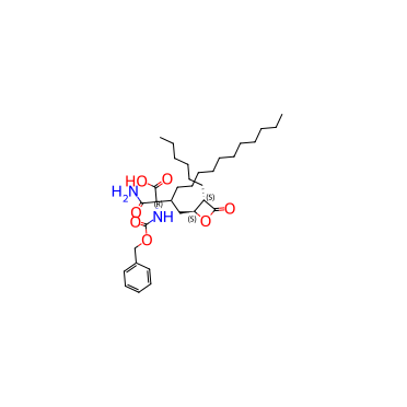 CCCCCCCCCCCC(C[C@@H]1OC(=O)[C@H]1CCCCCC)[C@@](NC(=O)OCc1ccccc1)(C(N)=O)C(=O)O